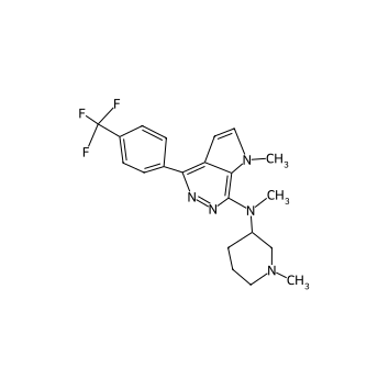 CN1CCCC(N(C)c2nnc(-c3ccc(C(F)(F)F)cc3)c3ccn(C)c23)C1